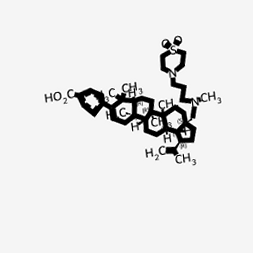 C=C(C)[C@@H]1CC[C@]2(CN(C)CCCN3CCS(=O)(=O)CC3)CC[C@]3(C)[C@H](CC[C@@H]4[C@@]5(C)CC=C(c6ccc(C(=O)O)cc6)C(C)(C)[C@@H]5CC[C@]43C)[C@@H]12